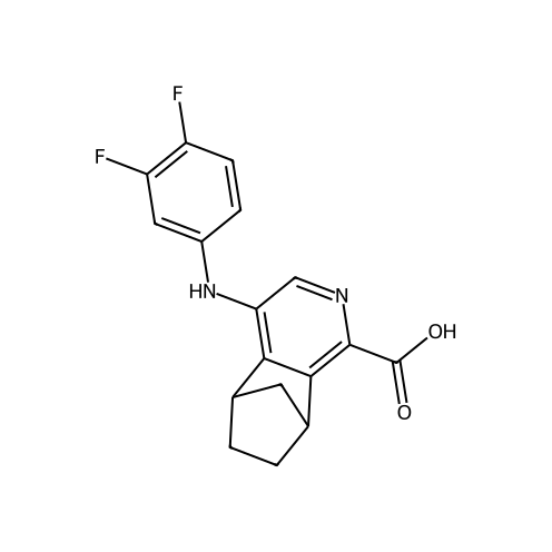 O=C(O)c1ncc(Nc2ccc(F)c(F)c2)c2c1C1CCC2C1